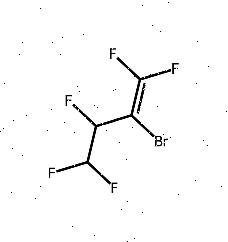 FC(F)=C(Br)C(F)C(F)F